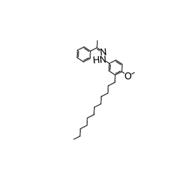 CCCCCCCCCCCCc1cc(NN=C(C)c2ccccc2)ccc1OC